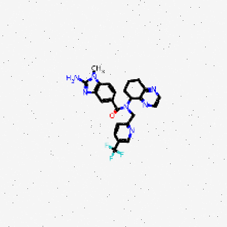 Cn1c(N)nc2cc(C(=O)N(Cc3ccc(C(F)(F)F)cn3)C3CCCc4nccnc43)ccc21